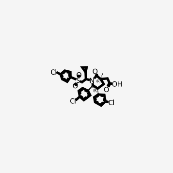 C[C@]1(CC(=O)O)C[C@H](c2cccc(Cl)c2)[C@@H](c2ccc(Cl)cc2)N(C(CS(=O)(=O)c2ccc(Cl)cc2)C2CC2)C1=O